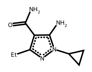 CCc1nn(C2CC2)c(N)c1C(N)=O